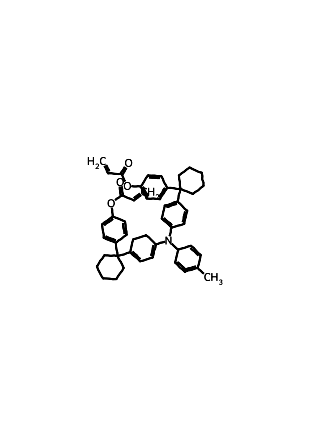 C=CC(=O)Oc1ccc(C2(C3=CC=C(N(c4ccc(C5(c6ccc(OC(=O)C=C)cc6)CCCCC5)cc4)C4C=C=C(C)C=C4)CC3)CCCCC2)cc1